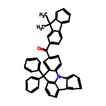 CC1(C)c2ccccc2-c2ccc(C(=O)c3ccc4c(c3)C(c3ccccc3)(c3ccccc3)c3cccc5c6ccccc6n-4c35)cc21